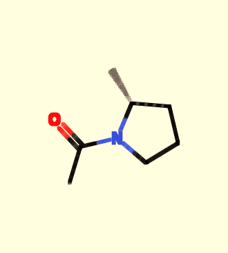 CC(=O)N1CCC[C@H]1C